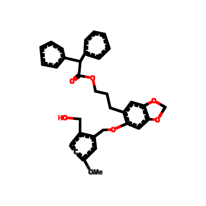 COc1ccc(CO)c(COc2cc3c(cc2CCCOC(=O)C(c2ccccc2)c2ccccc2)OCO3)c1